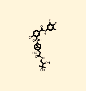 CC(C)(O)C(O)CNC(=O)C[C@]1(O)C2CC(S(=O)(=O)c3cc(C(=O)Nc4cc(F)c(F)c(F)c4)ccc3Cl)CC1[C@@H]2C